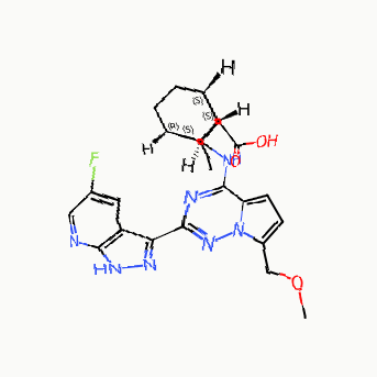 COCc1ccc2c(N[C@@H]3[C@@H](C(=O)O)[C@H]4CC[C@@H]3C(C)C4)nc(-c3n[nH]c4ncc(F)cc34)nn12